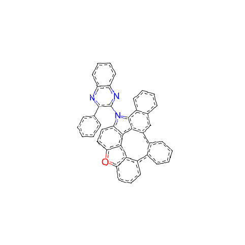 c1ccc(-c2nc3ccccc3nc2-n2c3ccc4oc5cccc6c7ccccc7c7cc8ccccc8c2c7c3c4c56)cc1